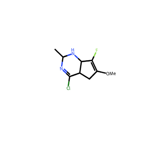 COC1=C(F)C2NC(C)N=C(Cl)C2C1